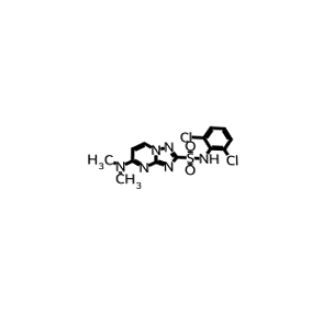 CN(C)c1ccn2nc(S(=O)(=O)Nc3c(Cl)cccc3Cl)nc2n1